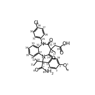 COc1ccc(C(C(N)=O)(C(C)C)N2C(=O)C(C)(CC(=O)O)C(=O)N(c3ccc(Cl)cc3)c3ccccc32)cc1